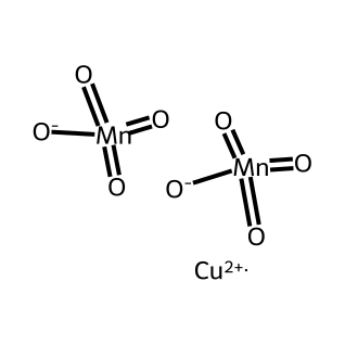 [Cu+2].[O]=[Mn](=[O])(=[O])[O-].[O]=[Mn](=[O])(=[O])[O-]